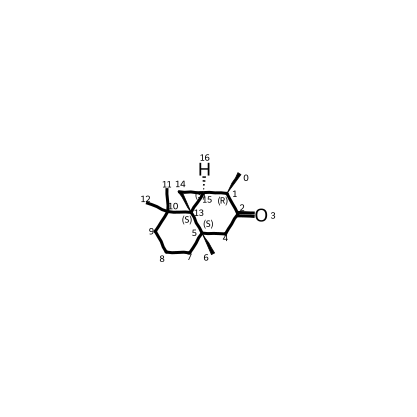 C[C@H]1C(=O)C[C@]2(C)CCCC(C)(C)[C@@]23C[C@@H]13